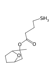 CC1(OC(=O)CCC[SiH3])CC2CCC1O2